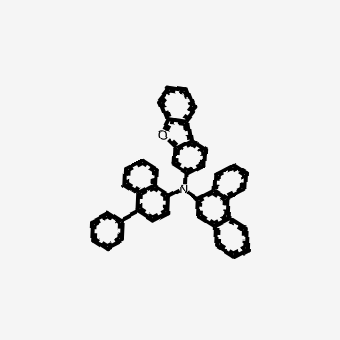 c1ccc(-c2ccc(N(c3ccc4c(c3)oc3ccccc34)c3cc4ccccc4c4ccccc34)c3ccccc23)cc1